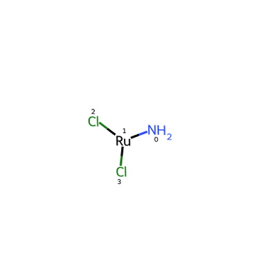 [NH2][Ru]([Cl])[Cl]